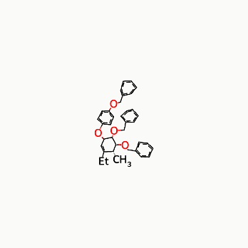 CCC1=C[C@@H](Oc2ccc(OCc3ccccc3)cc2)[C@H](OCc2ccccc2)[C@@H](OCc2ccccc2)[C@@H]1C